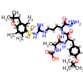 Cc1c(C)c(S(=O)(=O)NC(=N)NCCCC(NC(=O)C(Cc2ccc(OC(C)(C)C)cc2)NC(=O)C(C)NC(=O)O)C(=O)NN)c(C)c2c1OC(C)(C)C2